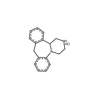 Cl.c1ccc2c(c1)Cc1ccccc1N1CCNCC21